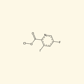 O=C(OCl)c1ncc(F)cc1I